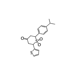 CC(C)c1ccc(C2CC(=O)CC(c3cccs3)S2(=O)=O)cc1